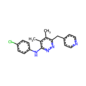 Cc1c(Cc2ccncc2)nnc(Nc2ccc(Cl)cc2)c1C